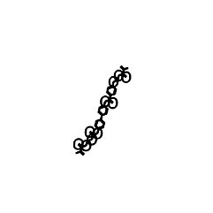 C=C(C)C(=O)OCOC(=O)Oc1ccc(-c2ccc(OC(=O)c3ccc(OCOC(=O)C(=C)C)cc3)cc2)cc1